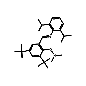 CC(C)c1cccc(C(C)C)c1/N=C/c1cc(C(C)(C)C)cc(C(C)(C)C)c1ON(C)C